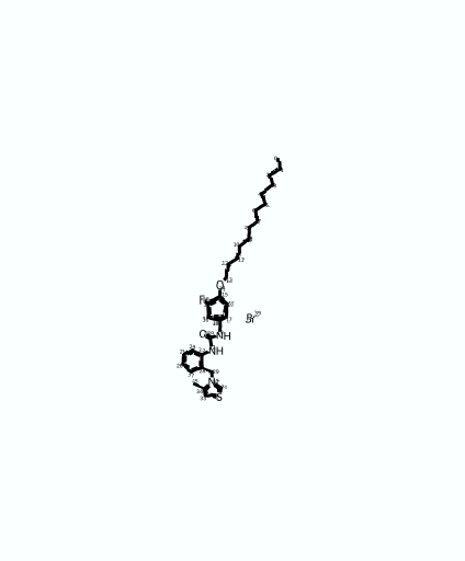 CCCCCCCCCCCCCCOc1ccc(NC(=O)Nc2ccccc2C[n+]2cscc2C)cc1F.[Br-]